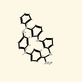 O=C(O)C(Oc1cccc(Oc2cccc(Oc3ccccc3)c2)c1)c1ccc(Oc2ccc(Cl)cc2)cc1